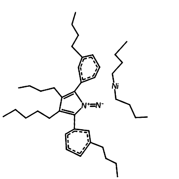 CCCCCC1=C(c2cccc(CCCC)c2)[N+](=[N-])C(c2cccc(CCCC)c2)=C1CCCC.CCC[CH2][Ni][CH2]CCC